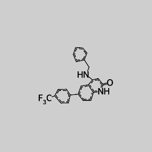 O=c1cc(NCc2ccccc2)c2cc(-c3ccc(C(F)(F)F)cc3)ccc2[nH]1